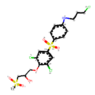 CCS(=O)(=O)CC(O)COc1c(Cl)cc(S(=O)(=O)c2ccc(NCCCCl)cc2)cc1Cl